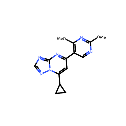 COc1ncc(-c2cc(C3CC3)n3ncnc3n2)c(OC)n1